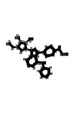 O=CNc1ccc(-c2cn([C@@H]3O[C@H](CO)[C@H](O)[C@@H]3O)c3ncnc(Nc4ccccc4)c23)cc1